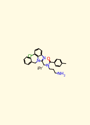 Cc1ccc(C(=O)N(CCCN)[C@@H](c2nc3cccc(Cl)c3n2Cc2ccccc2)C(C)C)cc1